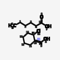 CCCCCC(=O)O.O/N=C1/CCCCC1Cl